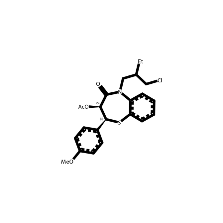 CCC(CCl)CN1C(=O)[C@H](OC(C)=O)[C@H](c2ccc(OC)cc2)Sc2ccccc21